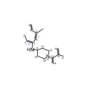 C=C/C(C)=C\C(=C/C)NC1CCN(C(=C)C(=C)C)CC1